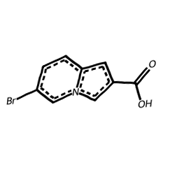 O=C(O)c1cc2ccc(Br)cn2c1